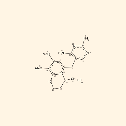 COc1cc(Cc2cnc(N)nc2N)c2c(c1OC)OCCC2O.Cl